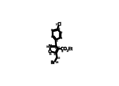 CCOC(=O)c1c(-c2ccc(Cl)cc2)noc1CBr